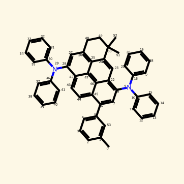 Cc1cccc(-c2cc(N(c3ccccc3)c3ccccc3)c3cc4c5c(cc(N(c6ccccc6)c6ccccc6)c6ccc2c3c65)CCC4(C)C)c1